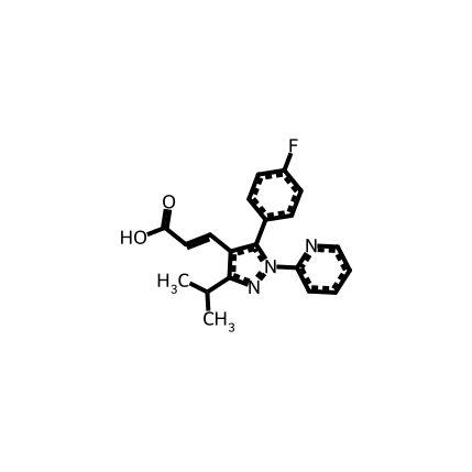 CC(C)c1nn(-c2ccccn2)c(-c2ccc(F)cc2)c1C=CC(=O)O